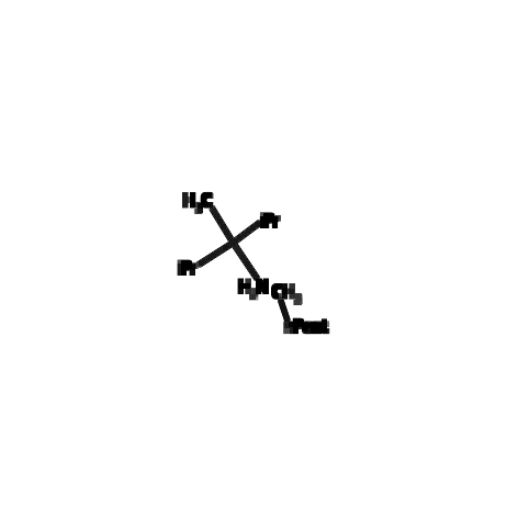 CC(C)C(C)(N)C(C)C.CCCCCC